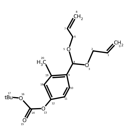 C=CCOC(OCC=C)c1ccc(OC(=O)OC(C)(C)C)cc1C